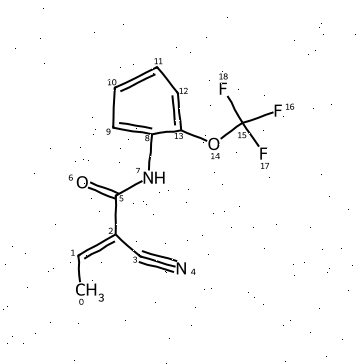 CC=C(C#N)C(=O)Nc1ccccc1OC(F)(F)F